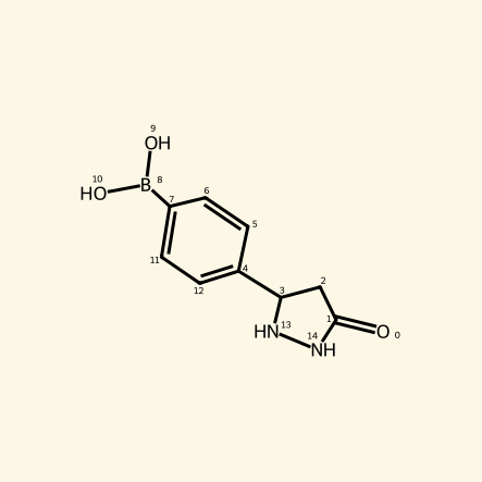 O=C1CC(c2ccc(B(O)O)cc2)NN1